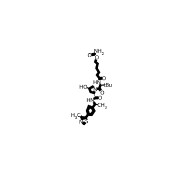 Cc1ncsc1-c1ccc([C@H](C)NC(=O)[C@@H]2C[C@@H](O)CN2C(=O)[C@@H](NC(=O)CCCCCOC(N)=O)C(C)(C)C)cc1